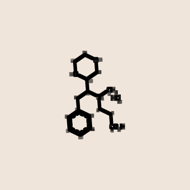 CN(CCC(=O)O)C(Cc1ccccc1)C1COCCO1.Cl